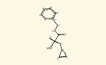 CC(O)(CC1CC1)C(=O)OCc1ccccc1